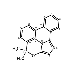 C[Si]1(C)Oc2cnc3c4ccccc4c4cccc1c4n23